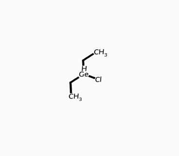 C[CH2][GeH]([Cl])[CH2]C